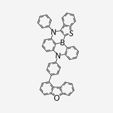 c1ccc(N2c3cccc4c3B(c3ccccc3N4c3ccc(-c4cccc5oc6ccccc6c45)cc3)c3sc4ccccc4c32)cc1